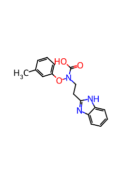 Cc1cccc(ON(CCc2nc3ccccc3[nH]2)C(=O)O)c1